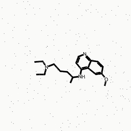 CCN(CC)CCCC(C)Nc1ccnc2ccc(OC)cc12